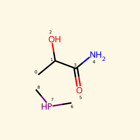 CC(O)C(N)=O.CPC